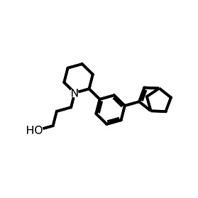 OCCCN1CCCCC1c1cccc(C2=CC3CCC2C3)c1